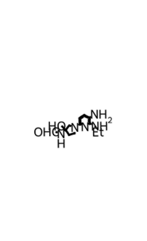 CCNc1nc(N2CCC(O)(NC=O)C2)ccc1N